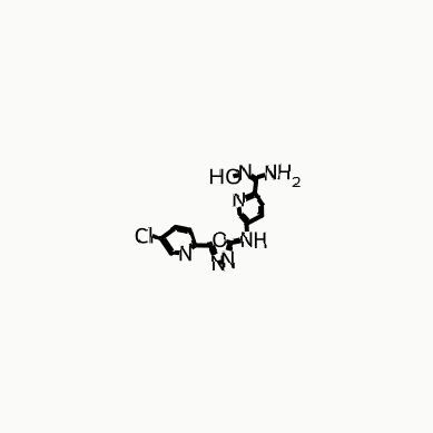 N/C(=N/O)c1ccc(Nc2nnc(-c3ccc(Cl)cn3)o2)cn1